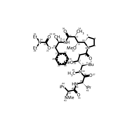 CC[C@H](C)[C@@H](C(CC(=O)N1CCC[C@H]1[C@H](OC)[C@@H](C)C(=O)N[C@H](C)[C@@H](OC(=O)N(CC)CC)c1ccccc1)OC)N(C)C(=O)[C@@H](NC(=O)[C@@H](NC)C(C)C)C(C)C